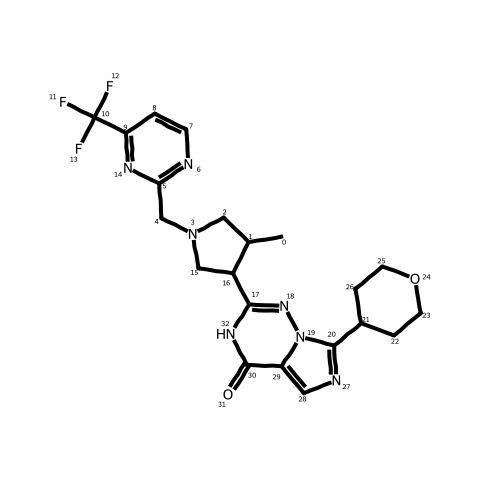 CC1CN(Cc2nccc(C(F)(F)F)n2)CC1c1nn2c(C3CCOCC3)ncc2c(=O)[nH]1